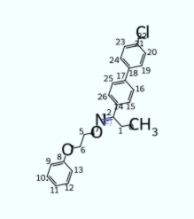 CC/C(=N\OCCOc1c[c]ccc1)c1ccc(-c2ccc(Cl)cc2)cc1